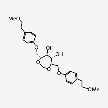 COCCc1ccc(OC[C@H]2OCO[C@H](COc3ccc(CCOC)cc3)[C@@H](O)[C@@H]2O)cc1